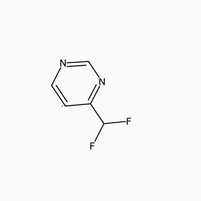 FC(F)c1[c]cncn1